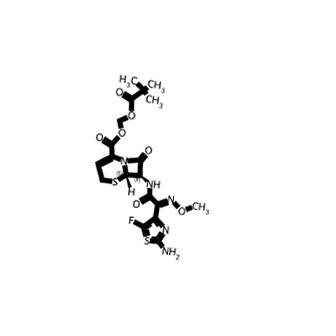 CON=C(C(=O)N[C@@H]1C(=O)N2C(C(=O)OCOC(=O)C(C)(C)C)=CCS[C@@H]12)c1nc(N)sc1F